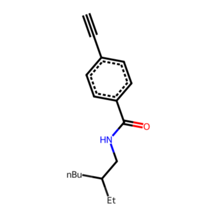 C#Cc1ccc(C(=O)NCC(CC)CCCC)cc1